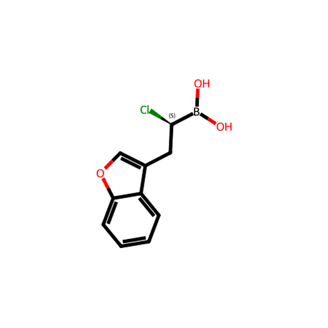 OB(O)[C@H](Cl)Cc1coc2ccccc12